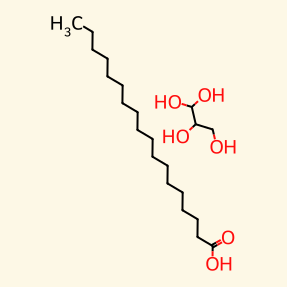 CCCCCCCCCCCCCCCCCC(=O)O.OCC(O)C(O)O